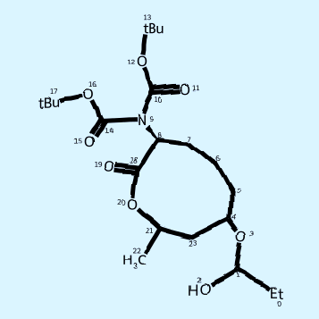 CCC(O)OC1CCC[C@H](N(C(=O)OC(C)(C)C)C(=O)OC(C)(C)C)C(=O)OC(C)C1